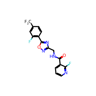 O=C(NCc1noc(-c2ccc(C(F)(F)F)cc2F)n1)c1cccnc1F